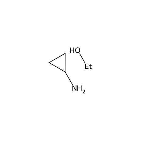 CCO.NC1CC1